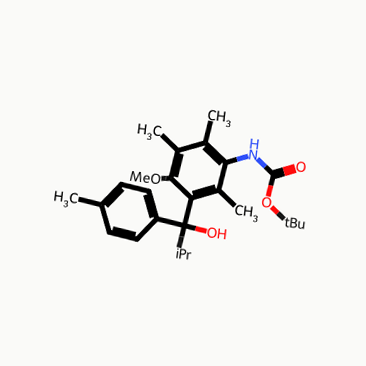 COc1c(C)c(C)c(NC(=O)OC(C)(C)C)c(C)c1C(O)(c1ccc(C)cc1)C(C)C